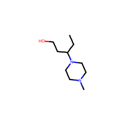 C[CH]C(CCO)N1CCN(C)CC1